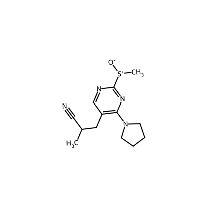 CC(C#N)Cc1cnc([S+](C)[O-])nc1N1CCCC1